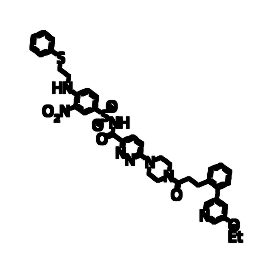 CCOc1cncc(-c2ccccc2CCC(=O)N2CCN(c3ccc(C(=O)NS(=O)(=O)c4ccc(NCCSc5ccccc5)c([N+](=O)[O-])c4)nn3)CC2)c1